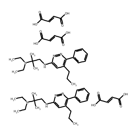 CCCc1cc(NCC(C)(C)N(CC)CC)nnc1-c1ccccc1.CCCc1cc(NCC(C)(C)N(CC)CC)nnc1-c1ccccc1.O=C(O)C=CC(=O)O.O=C(O)C=CC(=O)O.O=C(O)C=CC(=O)O